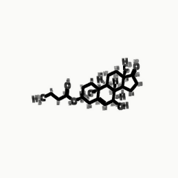 CCCC(=O)O[C@H]1CC[C@@]2(C)C(=CC(O)[C@@H]3[C@@H]2CC[C@]2(C)C(=O)CC[C@@H]32)C1